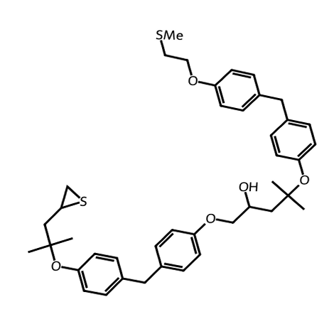 CSCCOc1ccc(Cc2ccc(OC(C)(C)CC(O)COc3ccc(Cc4ccc(OC(C)(C)CC5CS5)cc4)cc3)cc2)cc1